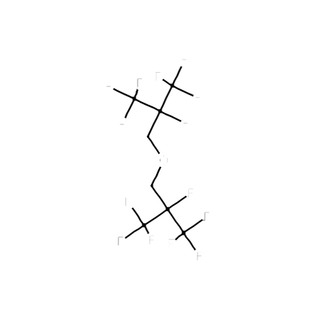 FC(F)(F)C(F)(COCC(F)(C(F)(F)F)C(F)(F)F)C(F)(F)F